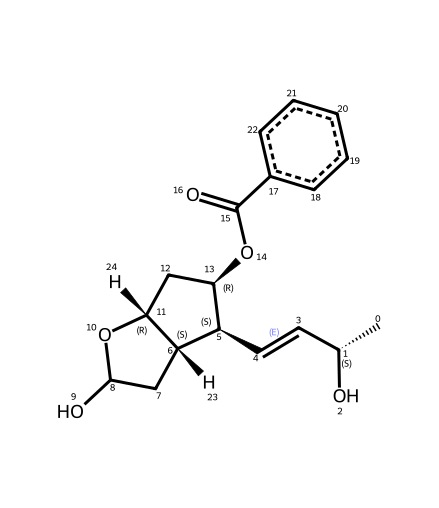 C[C@H](O)/C=C/[C@H]1[C@@H]2CC(O)O[C@@H]2C[C@H]1OC(=O)c1ccccc1